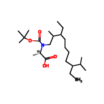 BCC(CCCCC(CC)C(C)CN(C(=O)OC(C)(C)C)[C@@H](C)C(=O)O)C(C)C